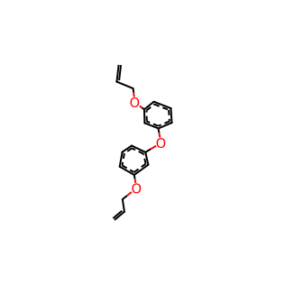 C=CCOc1cccc(Oc2cccc(OCC=C)c2)c1